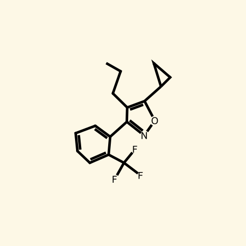 CCCc1c(-c2ccccc2C(F)(F)F)noc1C1CC1